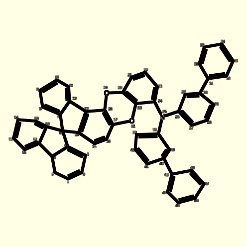 C1=CCC2C(=C1)C1(c3ccccc3-c3c1ccc1c3Oc3cccc(N(c4cccc(-c5ccccc5)c4)c4cccc(-c5ccccc5)c4)c3O1)c1ccccc12